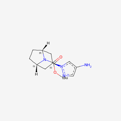 CC(C)(C)OC(=O)N1[C@@H]2CC[C@H]1C[C@H](n1cc(N)cn1)C2